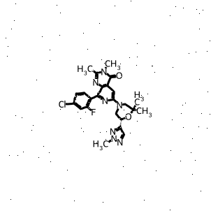 Cc1nc2c(-c3ccc(Cl)cc3F)nc(N3C[C@@H](c4cnn(C)n4)OC(C)(C)C3)cc2c(=O)n1C